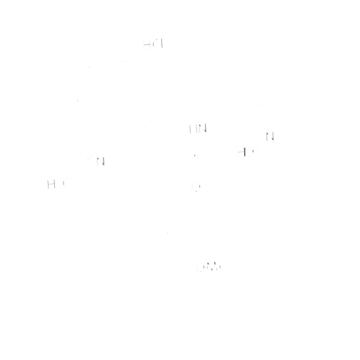 COc1cccc(-c2c(C(=O)NC3CC4CCC(C3)N4C)c3ccccc3n2C)c1.Cl